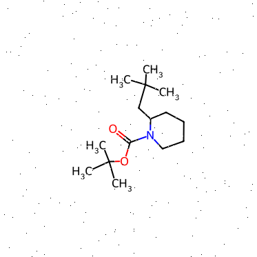 CC(C)(C)CC1CCCCN1C(=O)OC(C)(C)C